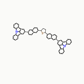 c1ccc2c(c1)c1cc(-c3ccc4cc(C5CCC(c6ccc7cc(-c8cc9c%10ccccc%10n%10c%11ccccc%11c(c8)c9%10)ccc7c6)S5)ccc4c3)cc3c4ccccc4n2c13